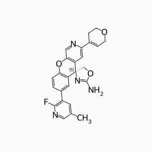 Cc1cnc(F)c(-c2ccc3c(c2)[C@@]2(COC(N)=N2)c2cc(C4=CCOCC4)ncc2O3)c1